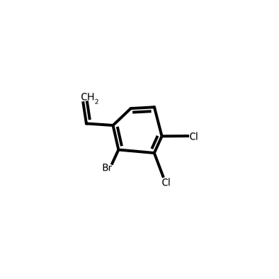 C=Cc1ccc(Cl)c(Cl)c1Br